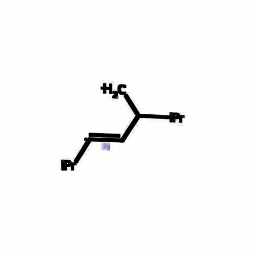 [CH2]C(/C=[C]/C(C)C)C(C)C